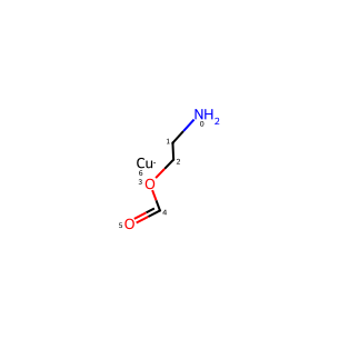 NCCOC=O.[Cu]